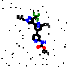 C=C1C=C(c2ccnc(NC(=O)OC)c2)C=C(c2cn(CC)nc2C(F)(F)F)N1